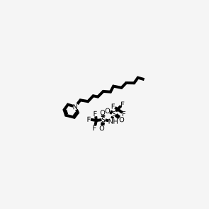 CCCCCCCCCCCCN1C=CC=CC1.O=S(=O)(NS(=O)(=O)C(F)(F)F)C(F)(F)F